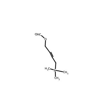 C[Si](C)(C)C/C=C/CO[C]=O